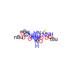 CCCCOc1cnc(NC(=O)NC[C@H]2NC(=O)[C@H]2NC(=O)C(=N)c2csc(NC(=O)OC(C)(C)C)n2)cc1OCCCC